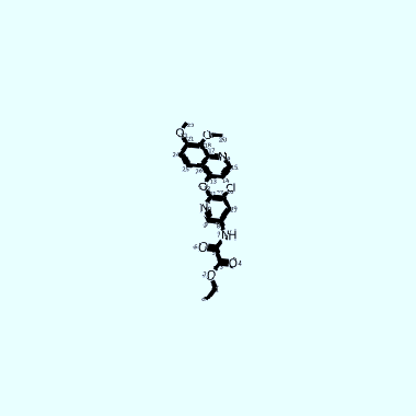 CCOC(=O)C(=O)Nc1cnc(Oc2ccnc3c(OC)c(OC)ccc23)c(Cl)c1